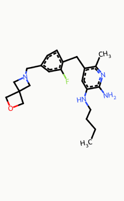 CCCCNc1cc(Cc2ccc(CN3CC4(COC4)C3)cc2F)c(C)nc1N